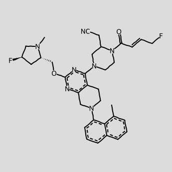 Cc1cccc2cccc(N3CCc4c(nc(OC[C@@H]5C[C@@H](F)CN5C)nc4N4CCN(C(=O)/C=C/CF)C(CC#N)C4)C3)c12